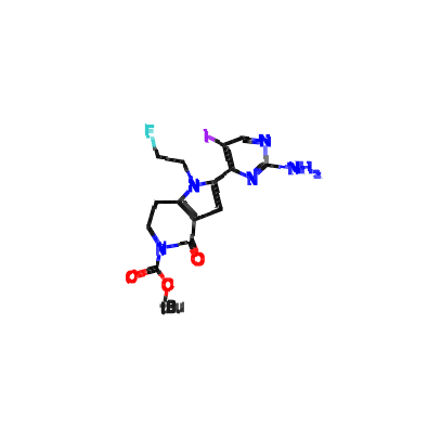 CC(C)(C)OC(=O)N1CCc2c(cc(-c3nc(N)ncc3I)n2CCF)C1=O